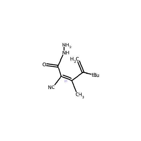 C=C(/C(C)=C(/C#N)C(=O)NN)C(C)(C)C